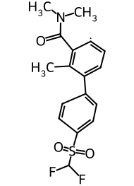 Cc1c(C(=O)N(C)C)[c]ccc1-c1ccc(S(=O)(=O)C(F)F)cc1